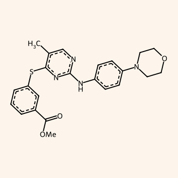 COC(=O)c1cccc(Sc2nc(Nc3ccc(N4CCOCC4)cc3)ncc2C)c1